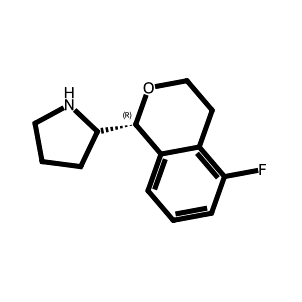 Fc1cccc2c1CCO[C@H]2C1CCCN1